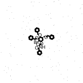 O=C(NC(=O)c1ccccc1)OC1C[C@H](COCc2ccccc2)[C@@H](OCc2ccccc2)C(OCc2ccccc2)C1Br